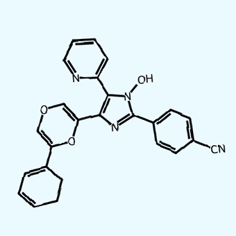 N#Cc1ccc(-c2nc(C3=COC=C(C4=CC=CCC4)O3)c(-c3ccccn3)n2O)cc1